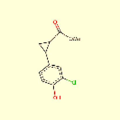 COC(=O)C1CC1c1ccc(O)c(Cl)c1